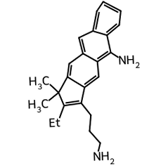 CCC1=C(CCCN)c2cc3c(N)c4ccccc4cc3cc2C1(C)C